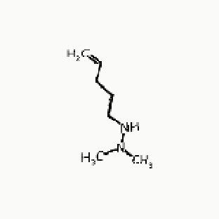 C=CCCCNN(C)C